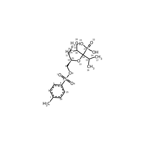 Cc1ccc(S(=O)(=O)OC[C@@H](CF)OC(C(C)C)(C(C)C)P(=O)(O)O)cc1